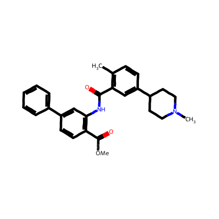 COC(=O)c1ccc(-c2ccccc2)cc1NC(=O)c1cc(C2CCN(C)CC2)ccc1C